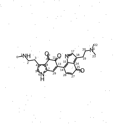 CNCCc1c[nH]c2c1C(=O)C(=O)C(C1=C3N=CC(CCN(C)C)=C3C(=O)C=C1)=C2